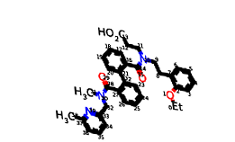 CCOc1ccccc1CCN(CCC(=O)O)C(=O)c1ccccc1-c1ccccc1C(=O)N(C)Cc1cccc(C)n1